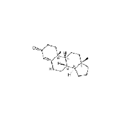 C[C@@]12CCC[C@H]1[C@@H]1CNC3=CC(=O)CC[C@]3(C)[C@@H]1CC2